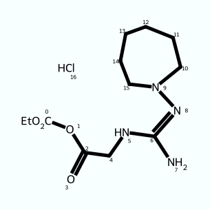 CCOC(=O)OC(=O)CNC(N)=NN1CCCCCC1.Cl